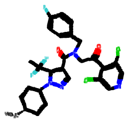 CC(F)(F)c1c(C(=O)N(CC(=O)c2c(Cl)cncc2Cl)Cc2ccc(F)cc2)cnn1[C@H]1CC[C@H](C(=O)O)CC1